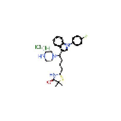 CC1(C)SC(CCCC(c2cn(-c3ccc(F)cc3)c3ccccc23)N2CCNCC2)NC1=O.Cl.Cl